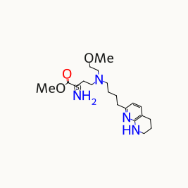 COCCN(CCCCc1ccc2c(n1)NCCC2)CC[C@H](N)C(=O)OC